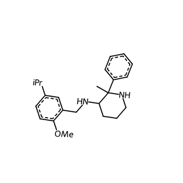 COc1ccc(C(C)C)cc1CNC1CCCNC1(C)c1ccccc1